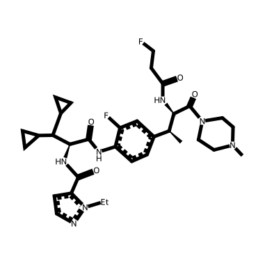 CCn1nccc1C(=O)N[C@H](C(=O)Nc1ccc([C@H](C)[C@@H](NC(=O)CCF)C(=O)N2CCN(C)CC2)cc1F)C(C1CC1)C1CC1